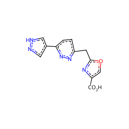 O=C(O)c1coc(Cc2ccc(-c3cn[nH]c3)nn2)n1